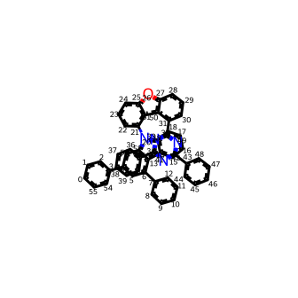 c1ccc(-c2cc(-c3ccccc3)c3c4ccccc4n(-c4cccc5oc6cccc(-c7nc(-c8ccccc8)nc(-c8ccccc8)n7)c6c45)c3c2)cc1